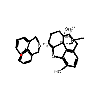 CN1CC[C@]23c4c5ccc(O)c4OC2[C@H](N(Cc2ccccc2)Cc2ccccc2)CC[C@@]3(O)[C@H]1C5